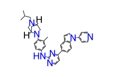 Cc1cc(Nc2nccc(-c3ccc4c(ccn4-c4ccncc4)c3)n2)ccc1N1C[C@@H]2C[C@H]1CN2CC(C)C